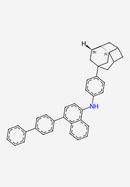 c1ccc(-c2ccc(-c3ccc(Nc4ccc(C56CC7CC8C[C@@H](C5)C[C@]87C6)cc4)c4ccccc34)cc2)cc1